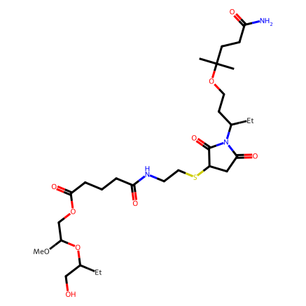 CCC(CO)OC(COC(=O)CCCC(=O)NCCSC1CC(=O)N(C(CC)CCOC(C)(C)CCC(N)=O)C1=O)OC